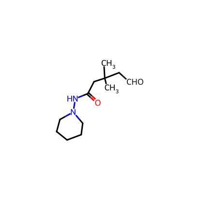 CC(C)(CC=O)CC(=O)NN1CCCCC1